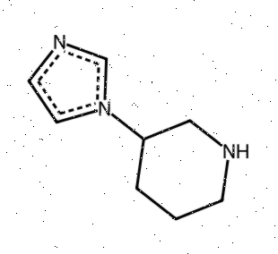 c1cn(C2CCCNC2)cn1